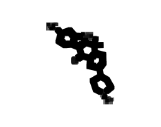 CC(C)N1CCC(c2ccc3c(c2)C(=O)c2c([nH]c4cc(C#N)ccc24)C3(C)C)CC1